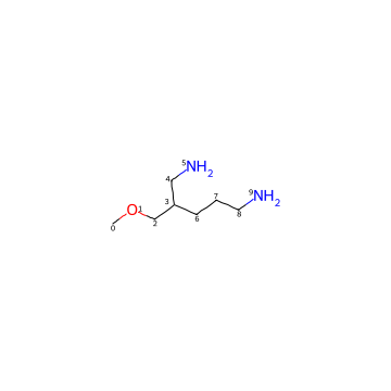 COCC(CN)CCCN